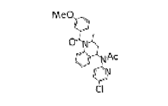 COc1cccc(C(=O)N2c3ccccc3C(N(C(C)=O)c3ccc(Cl)cn3)CC2C)c1